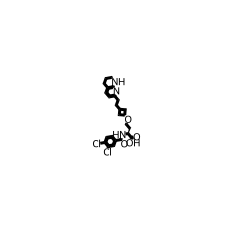 O=C(N[C@@H](CCOC1CC(CCc2ccc3c(n2)NCCC3)C1)C(=O)O)c1ccc(Cl)c(Cl)c1